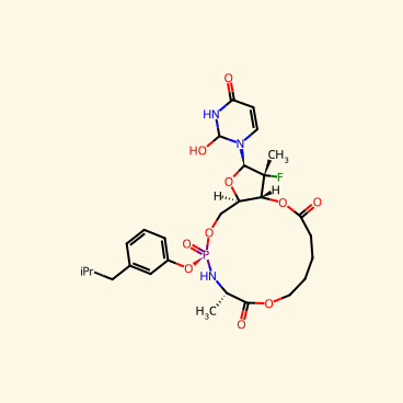 CC(C)Cc1cccc(O[P@]2(=O)N[C@@H](C)C(=O)OCCCCC(=O)O[C@@H]3[C@@H](CO2)O[C@@H](N2C=CC(=O)NC2O)[C@]3(C)F)c1